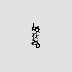 c1ccc2c(c1)CC(CN1CCN(c3cccc4[nH]ccc34)CC1)N2